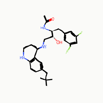 CC(=O)N[C@@H](Cc1cc(F)cc(F)c1)[C@H](O)CNC1CCNc2ccc(CC(C)(C)C)cc21